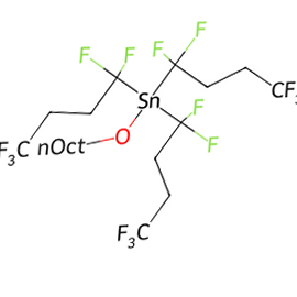 CCCCCCCC[O][Sn]([C](F)(F)CCC(F)(F)F)([C](F)(F)CCC(F)(F)F)[C](F)(F)CCC(F)(F)F